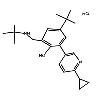 CC(C)(C)NCc1cc(C(C)(C)C)cc(-c2ccc(C3CC3)nc2)c1O.Cl